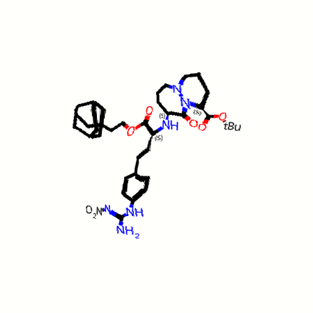 CC(C)(C)OC(=O)[C@@H]1CCCN2CCC[C@H](N[C@@H](CCc3ccc(NC(N)=N[N+](=O)[O-])cc3)C(=O)OCCC34CC5CC(CC(C5)C3)C4)C(=O)N12